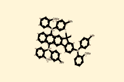 COc1ccccc1N(c1ccc(C(C)C)cc1)c1ccc2c(c1)C(C)(C)c1cc3c(N(c4ccc(C(C)C)cc4)c4ccccc4OC)c4ccccc4c(N(c4ccc(C(C)C)cc4)c4ccccc4OC)c3cc1-2